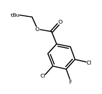 CC(C)(C)COC(=O)c1cc(Cl)c(F)c(Cl)c1